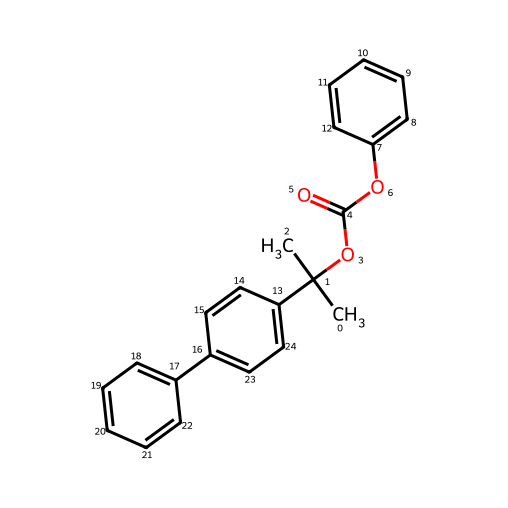 CC(C)(OC(=O)Oc1ccccc1)c1ccc(-c2ccccc2)cc1